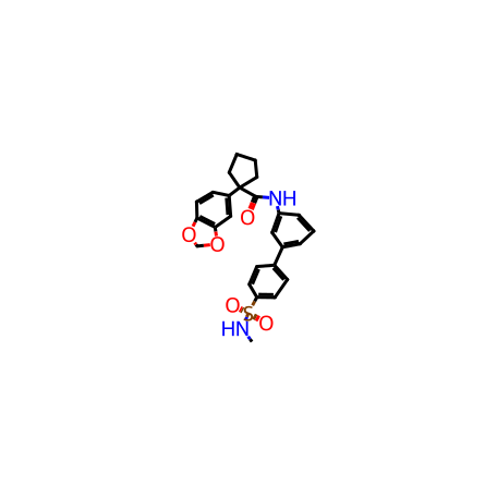 CNS(=O)(=O)c1ccc(-c2cccc(NC(=O)C3(c4ccc5c(c4)OCO5)CCCC3)c2)cc1